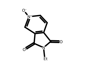 CCN1C(=O)c2cc[n+]([O-])cc2C1=O